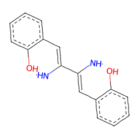 [NH]C(=Cc1ccccc1O)C([NH])=Cc1ccccc1O